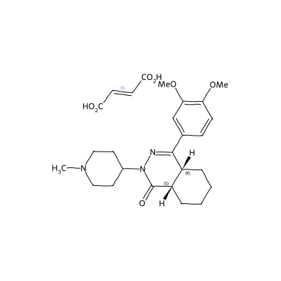 COc1ccc(C2=NN(C3CCN(C)CC3)C(=O)[C@H]3CCCC[C@@H]23)cc1OC.O=C(O)/C=C/C(=O)O